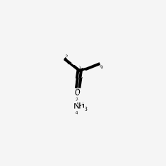 CC(C)=O.N